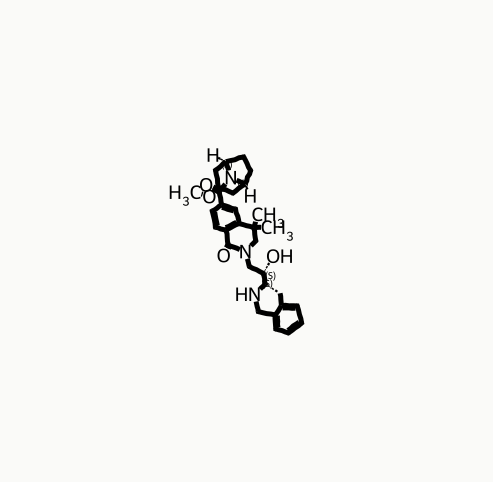 COC1C[C@H]2CC[C@@H](C1)N2C(=O)c1ccc2c(c1)C(C)(C)CN(C[C@H](O)[C@@H]1Cc3ccccc3CN1)C2=O